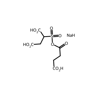 O=C(O)CCC(=O)OS(=O)(=O)C(CC(=O)O)C(=O)O.[NaH]